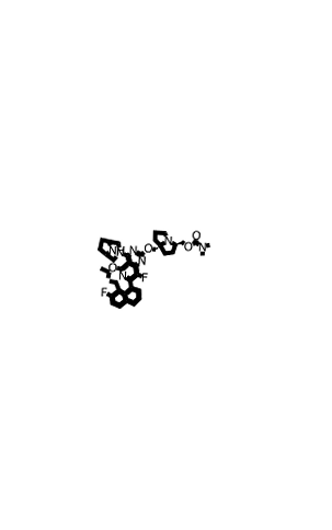 CCc1c(F)ccc2cccc(-c3nc(OC(C)C)c4c(N5CC6CCC(C5)N6)nc(OC[C@]56CCCN5[C@@H](COC(=O)N(C)C)CC6)nc4c3F)c12